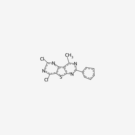 Cc1nc(-c2ccccc2)nc2sc3c(Cl)nc(Cl)nc3c12